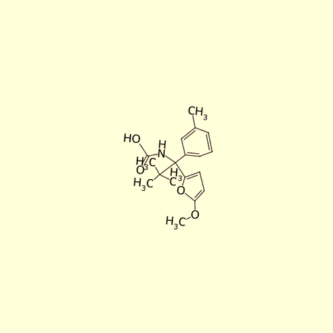 COc1ccc(C(NC(=O)O)(c2cccc(C)c2)C(C)(C)C)o1